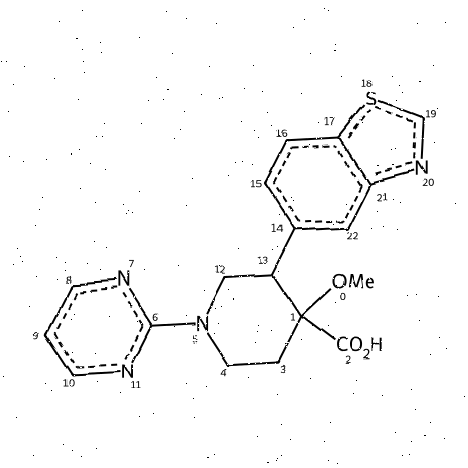 COC1(C(=O)O)CCN(c2ncccn2)CC1c1ccc2scnc2c1